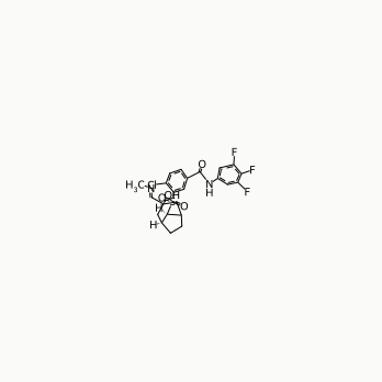 C/N=C/[C@]1(O)CC2CC[C@@H](C1)[C@H]2S(=O)(=O)c1cc(C(=O)Nc2cc(F)c(F)c(F)c2)ccc1Cl